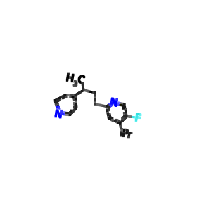 CC(C)c1cc(CCC(C)c2ccncc2)ncc1F